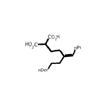 CCCC=C(CCCCCCCCCCCC)CCC(C(=O)O)C(=O)O